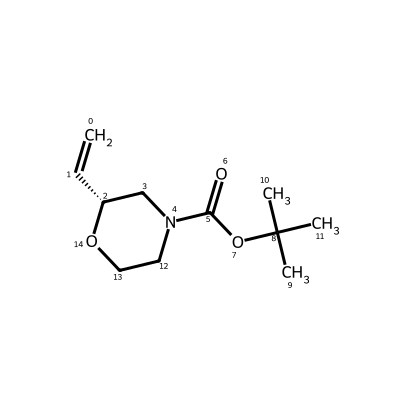 C=C[C@@H]1CN(C(=O)OC(C)(C)C)CCO1